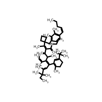 C=C(NCC)/C(C(=C)C(C)C(/C(C)=C\C)=C(/C=C(\C)C(C)(C)CC)C1=C(C)CCC(C(C)(C)C)=C1)=C(/C)C1(Cc2ccc(/C=C\CCC)c(C)c2C)CCC1